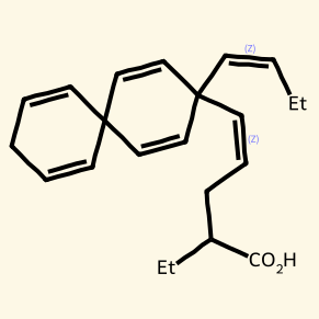 CC/C=C\C1(/C=C\CC(CC)C(=O)O)C=CC2(C=CCC=C2)C=C1